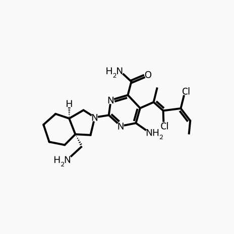 C/C=C(Cl)\C(Cl)=C(/C)c1c(N)nc(N2C[C@@H]3CCCC[C@]3(CN)C2)nc1C(N)=O